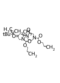 C=CCOC(=O)N1CCN([C@]2(C)C[C@@H](O[Si](C)(C)C(C)(C)C)CN2C(=O)OCC=C)C(=O)C1